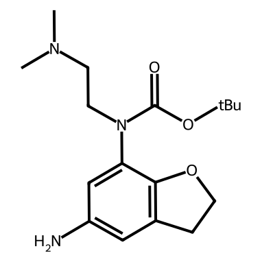 CN(C)CCN(C(=O)OC(C)(C)C)c1cc(N)cc2c1OCC2